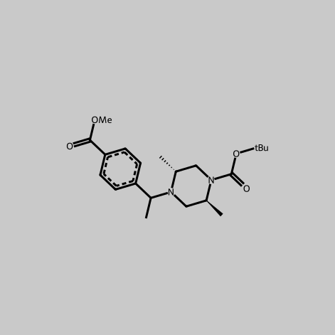 COC(=O)c1ccc(C(C)N2C[C@H](C)N(C(=O)OC(C)(C)C)C[C@H]2C)cc1